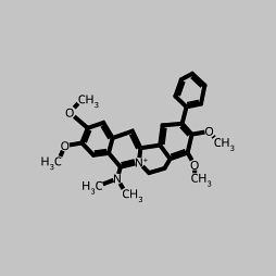 COc1cc2cc3[n+](c(N(C)C)c2cc1OC)CCc1c-3cc(-c2ccccc2)c(OC)c1OC